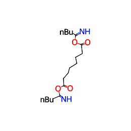 CCCCC(=N)OC(=O)CCCCCCC(=O)OC(=N)CCCC